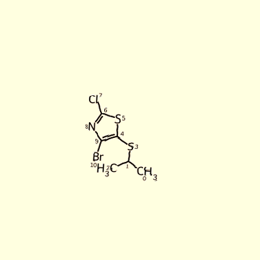 CC(C)Sc1sc(Cl)nc1Br